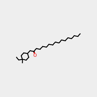 CCCCCCCCCCCCCCCC(=O)CC1CCC(C)(CC)CC1